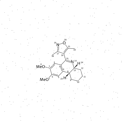 COc1cc2c(cc1OC)[C@H]1CCCC[C@H]1N=C2c1c(C)noc1C